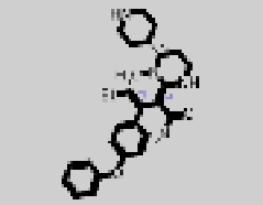 CC/C=C(/C(C(N)=O)=C1/NCC[C@@H](C2CCNCC2)N1C)c1ccc(Oc2ccccc2)cc1